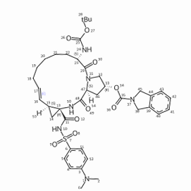 CN(C)c1ccc(S(=O)(=O)NC(=O)[C@@]23C[C@H]2/C=C/CCCCC[C@H](NC(=O)OC(C)(C)C)C(=O)N2C[C@H](OC(=O)N4Cc5ccccc5C4)C[C@H]2C(=O)N3)cc1